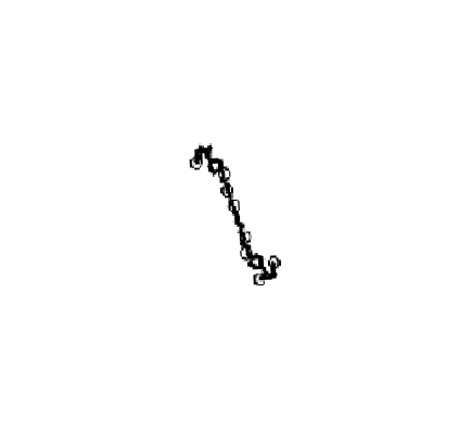 C=C1C=CC(=O)N1c1ccc(OCCOCCOCCCCCOCCOc2ccc(N3C(=O)C=CC3=O)cc2)cc1